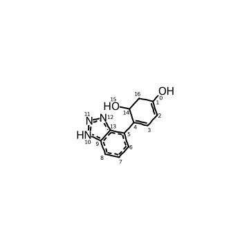 OC1=CC=C(c2cccc3[nH]nnc23)C(O)C1